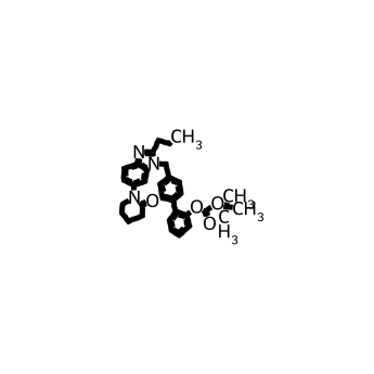 CCCc1nc2ccc(N3CCCCC3=O)cc2n1Cc1ccc(-c2ccccc2OC(=O)OC(C)(C)C)cc1